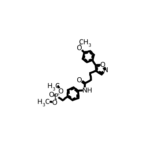 COc1ccc(-c2oncc2CCC(=O)Nc2ccc(CP(=O)(OC)OC)cc2)cc1